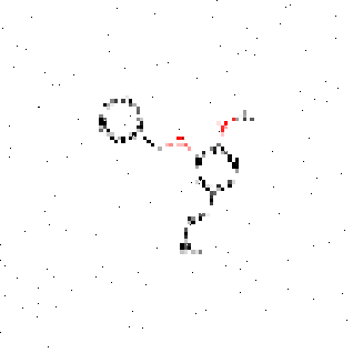 CCOc1ccc(C=C[N+](=O)[O-])cc1OCc1ccccc1